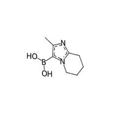 Cc1nc2n(c1B(O)O)CCCC2